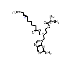 CCCCCCCCCCC/C=C/CCCCC(=O)OC[C@H](CCOC(=O)[C@@H](N)C(C)CC)Cn1cnc2cnc(N)nc21